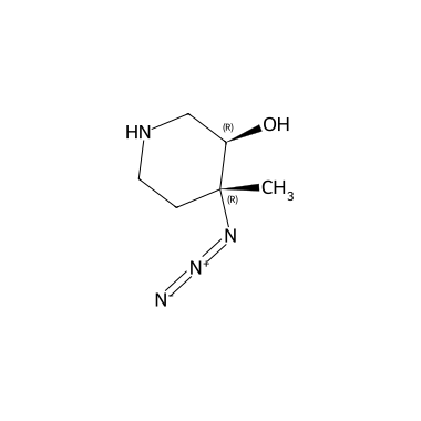 C[C@@]1(N=[N+]=[N-])CCNC[C@H]1O